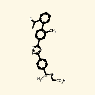 Cc1cc(-c2nc(-c3ccc([C@@H](C)NCC(=O)O)cc3)no2)ccc1-c1ccccc1C(F)F